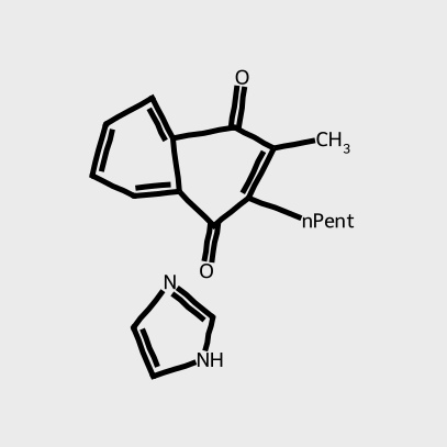 CCCCCC1=C(C)C(=O)c2ccccc2C1=O.c1c[nH]cn1